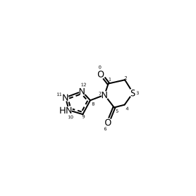 O=C1CSCC(=O)N1c1c[nH]nn1